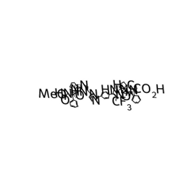 COC(=O)N[C@@H](C(=O)N1CCC[C@H]1c1ncc(-c2ccnc(-c3ccc(-c4[nH]c([C@@H]5CCCN5C(=O)[C@@H](c5ccccc5)N(C)C(=O)O)nc4C(F)(F)F)cc3)n2)[nH]1)c1ccccc1